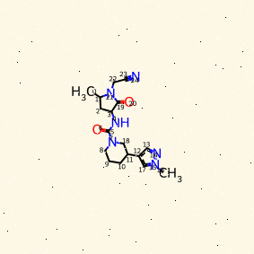 CC1CC(NC(=O)N2CCCC(c3cnn(C)c3)C2)C(=O)N1CC#N